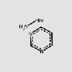 CCCCN.c1cncnc1